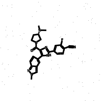 CN(C)[C@H]1CCN(C(=O)c2nc(-c3ccc(C#N)c(F)c3)[nH]c2-c2ccc3nn(C)cc3c2)C1